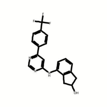 OC1Cc2cccc(Nc3cc(-c4ccc(C(F)(F)F)cc4)ncn3)c2C1